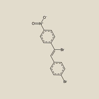 O=[N+]([O-])c1ccc(C(Br)=Cc2ccc(Br)cc2)cc1